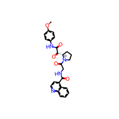 COc1ccc(NC(=O)C(=O)[C@@H]2CCCN2C(=O)CNC(=O)c2ccnc3ccccc23)cc1